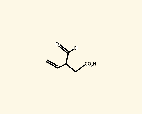 C=CC(CC(=O)O)C(=O)Cl